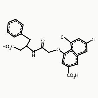 O=C(O)CC(Cc1ccccc1)NC(=O)COc1cc(C(=O)O)cc2cc(Cl)cc(Cl)c12